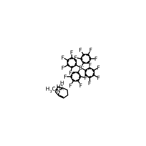 C[NH+]1C2=CCC[C@@H]1CC2.Fc1cc([B-](c2cc(F)c(F)c(F)c2F)(c2cc(F)c(F)c(F)c2F)c2cc(F)c(F)c(F)c2F)c(F)c(F)c1F